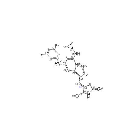 Cc1cc(F)cc(Nc2cc(NC3CC3)n3ncc(/C=C4\CC(=O)NC4=O)c3n2)c1